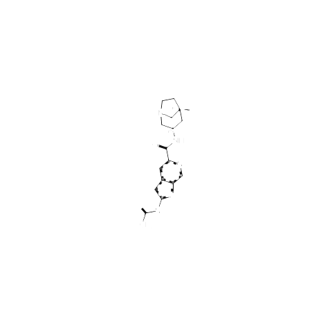 O=C(N[C@@H]1C[C@H]2CCN(C2)C1)c1cc2cc(NC(=O)C(F)(F)F)oc2cn1